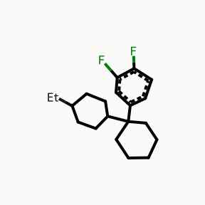 CCC1CCC(C2(c3ccc(F)c(F)c3)CCCCC2)CC1